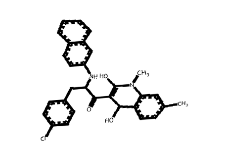 Cc1ccc2c(c1)N(C)C(O)=C(C(=O)C(Cc1ccc(Cl)cc1)Nc1ccc3ccccc3c1)C2O